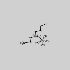 N#[C][Fe]([C]#N)([C]#N)([C]#N)[C]#N.NCCCNCCN